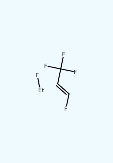 CCF.FC=CC(F)(F)F